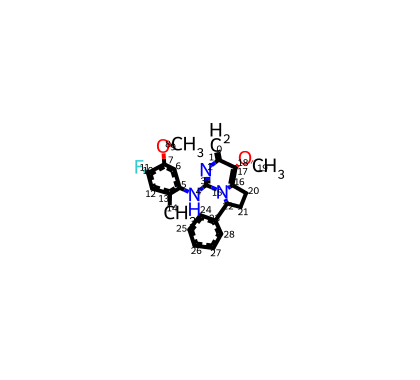 C=C1N=C(Nc2cc(OC)c(F)cc2C)N2C(=C1OC)CCC2c1ccccc1